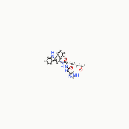 CC(=O)CCCCC[C@H](NC(=O)Cc1c[nH]cn1)C(=O)NCCc1c(-c2ccccc2)[nH]c2ccccc12